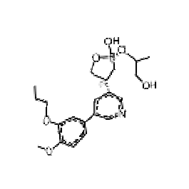 CCCOc1cc(-c2cncc([C@@H]3CO[B-](O)(OC(C)CO)C3)c2)ccc1OC